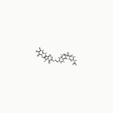 Cc1c(C(=O)NCC=Cc2ccc3nc(Nc4ccc(CN(C)C)cc4)ncc3c2)c(=O)n(Cc2cc(F)c(F)c(F)c2)n1C